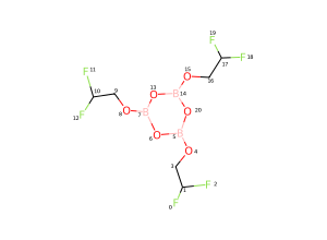 FC(F)COB1OB(OCC(F)F)OB(OCC(F)F)O1